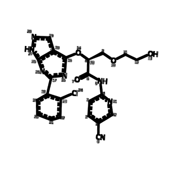 N#Cc1ccc(NC(=O)[C@H](COCCO)Oc2nc(-c3ccccc3Cl)nc3[nH]ncc23)nc1